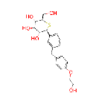 OCCOc1ccc(Cc2cccc([C@@H]3S[C@H](CO)[C@@H](O)[C@H](O)[C@H]3O)c2)cc1